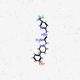 N/C(=C\NCc1ccc(C(F)(F)F)cn1)CN1CCC(c2cccc(O)c2)CC1